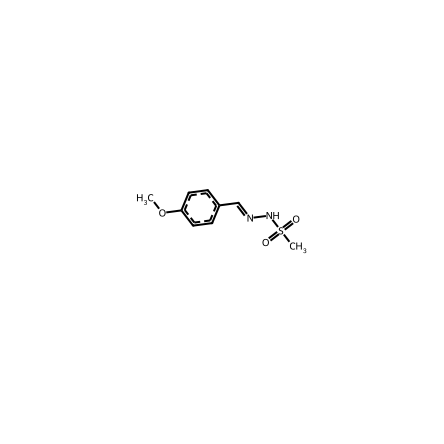 COc1ccc(C=NNS(C)(=O)=O)cc1